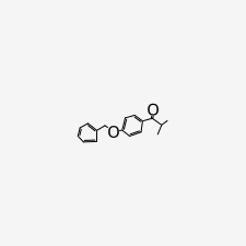 CC(C)C(=O)c1ccc(OCc2ccccc2)cc1